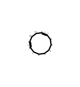 [C]1=C\CCCCCC/C=C\CC/1